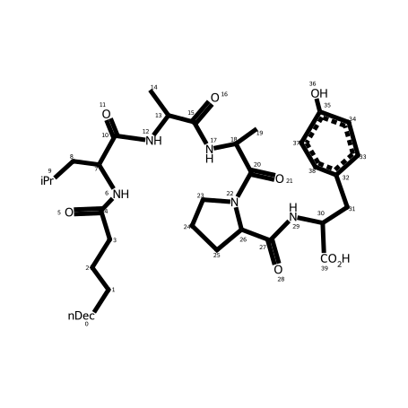 CCCCCCCCCCCCCC(=O)NC(CC(C)C)C(=O)NC(C)C(=O)NC(C)C(=O)N1CCCC1C(=O)NC(Cc1ccc(O)cc1)C(=O)O